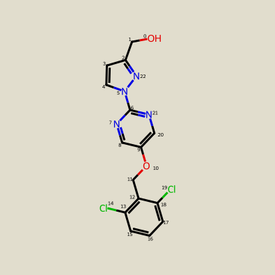 OCc1ccn(-c2ncc(OCc3c(Cl)cccc3Cl)cn2)n1